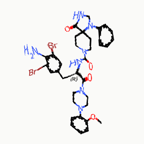 COc1ccccc1N1CCN(C(=O)[C@@H](Cc2cc(Br)c(N)c(Br)c2)NC(=O)N2CCC3(CC2)C(=O)NCN3c2ccccc2)CC1